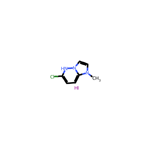 CN1C=CN2NC(Cl)=CC=C12.I